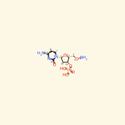 NOC[C@H]1O[C@@H](n2ccc(N)nc2=O)C[C@@H]1OP(=O)(O)O